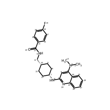 CN(C)c1cc(N[C@H]2CC[C@@H](CNC(=O)c3ccc(F)cc3)CC2)nc2ccccc12